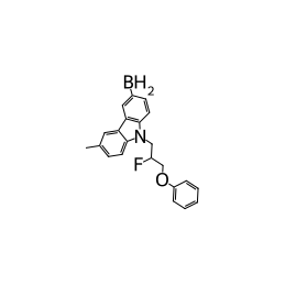 Bc1ccc2c(c1)c1cc(C)ccc1n2CC(F)COc1ccccc1